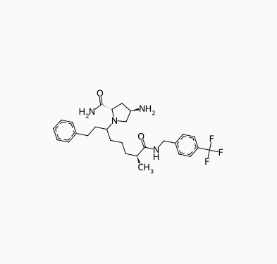 C[C@@H](CCCC(CCc1ccccc1)N1C[C@H](N)C[C@H]1C(N)=O)C(=O)NCc1ccc(C(F)(F)F)cc1